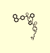 CN(C)CCCN1CCN(C(=O)c2ccc3n2Cc2ccccc2N(C(=O)c2ccc(-c4cccc5ccccc45)cc2)C3)CC1